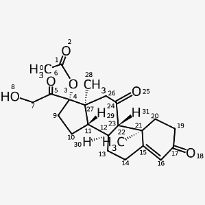 CC(=O)O[C@@]1(C(=O)CO)CC[C@H]2[C@@H]3CCC4=CC(=O)CC[C@]4(C)[C@H]3C(=O)C[C@@]21C